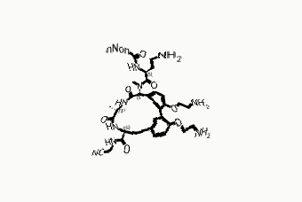 CCCCCCCCCC(=O)N[C@@H](CCN)C(=O)N(C)[C@@H]1C(=O)N[C@@H](C)C(=O)N[C@H](C(=O)NCC#N)Cc2ccc(OCCN)c(c2)-c2cc1ccc2OCCN